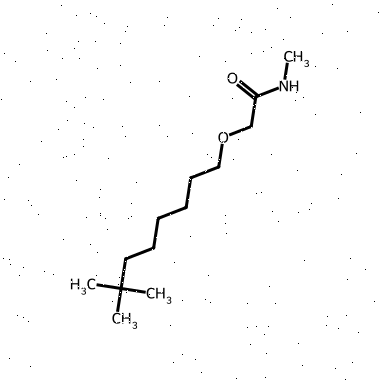 CNC(=O)COCCCCCCC(C)(C)C